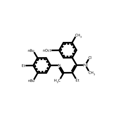 CCCCCCCCc1cc(C)cc([C](=C(CC)C(C)=Nc2cc(CCCC)c(CC)c(CCCC)c2)[Pd]([CH3])[Cl])c1